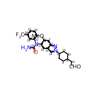 COc1cc2nn(C3CCC(CC=O)CC3)cc2cc1N(C(N)=O)c1cccc(C(F)(F)F)c1